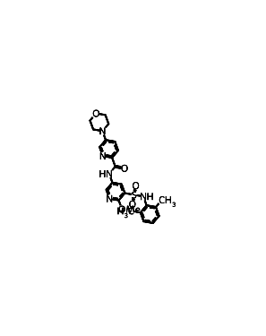 COc1ncc(NC(=O)c2ccc(N3CCOCC3)cn2)cc1S(=O)(=O)Nc1c(C)cccc1C